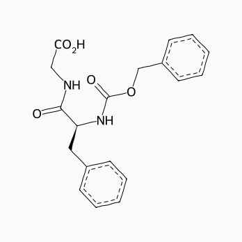 O=C(O)CNC(=O)[C@H](Cc1ccccc1)NC(=O)OCc1ccccc1